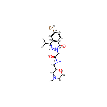 CC(C)c1nn(CC(=O)NCC2CN(C)CCO2)c(=O)c2ccc(Br)cc12